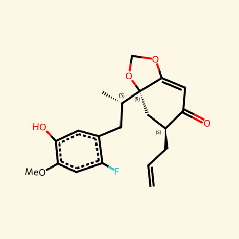 C=CC[C@H]1C[C@]2([C@@H](C)Cc3cc(O)c(OC)cc3F)OCOC2=CC1=O